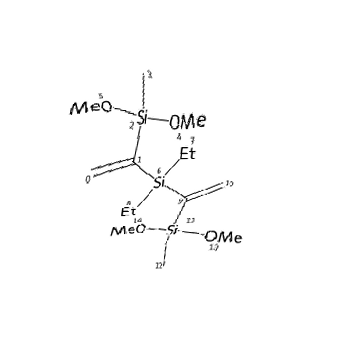 C=C([Si](C)(OC)OC)[Si](CC)(CC)C(=C)[Si](C)(OC)OC